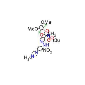 COc1cc(OC)c(F)c(C(=O)c2oc3cnc(Nc4ccc(N5CCN(C)CC5)cc4[N+](=O)[O-])cc3c2N(C)C(=O)OC(C)(C)C)c1F